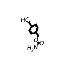 C#Cc1ccc(COC(N)=O)cc1